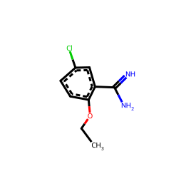 CCOc1ccc(Cl)cc1C(=N)N